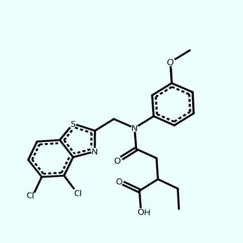 CCC(CC(=O)N(Cc1nc2c(Cl)c(Cl)ccc2s1)c1cccc(OC)c1)C(=O)O